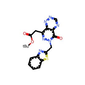 CC(C)(C)OC(=O)Cc1nn(Cc2nc3ccccc3s2)c(=O)c2ncnnc12